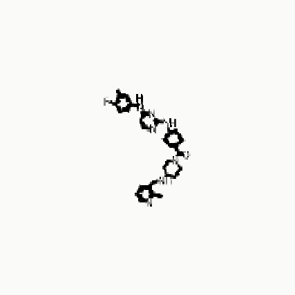 Cc1cc(Nc2ccnc(Nc3ccc(C(=O)N4CCC(NCc5cccnc5C)CC4)cc3)n2)ccc1F